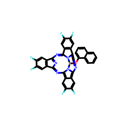 Fc1cc2c(cc1F)/C1=N/c3c4cc(F)c(F)cc4c4n3B(Oc3cccc5ccccc35)n3c(c5cc(F)c(F)cc5/c3=N/C2=N1)=N4